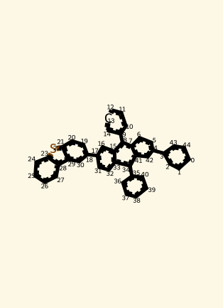 c1ccc(-c2ccc3c(-c4ccccc4)c4cc(-c5ccc6sc7ccccc7c6c5)ccc4c(-c4ccccc4)c3c2)cc1